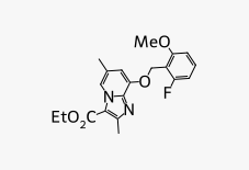 CCOC(=O)c1c(C)nc2c(OCc3c(F)cccc3OC)cc(C)cn12